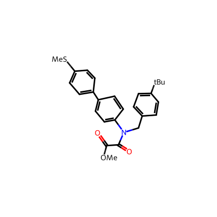 COC(=O)C(=O)N(Cc1ccc(C(C)(C)C)cc1)c1ccc(-c2ccc(SC)cc2)cc1